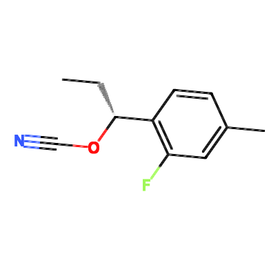 CC[C@@H](OC#N)c1ccc(C)cc1F